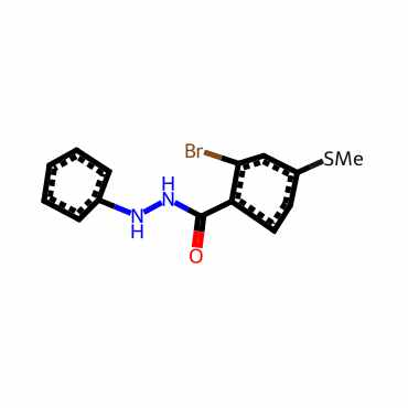 CSc1ccc(C(=O)NNc2ccccc2)c(Br)c1